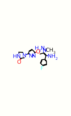 CN(N)/C(COc1ccc(N2CCNC(=O)C2)nn1)=C(\N)c1ccc(F)cc1